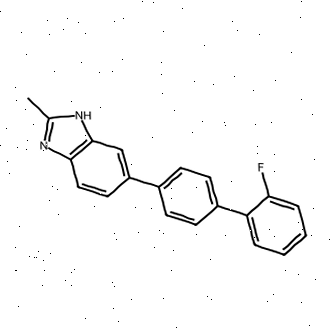 Cc1nc2ccc(-c3ccc(-c4ccccc4F)cc3)cc2[nH]1